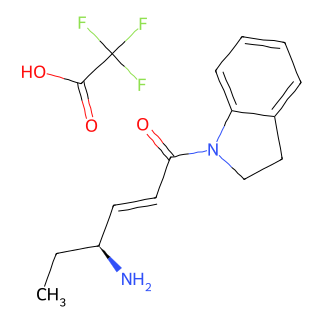 CC[C@H](N)/C=C/C(=O)N1CCc2ccccc21.O=C(O)C(F)(F)F